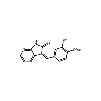 COc1ccc(C=C2C(=O)Nc3ncccc32)cc1C(C)C